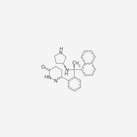 C[C@](N[C@H]1CCNC1)(c1ccccc1C1=NNC(=O)CC1)c1cccc2ccccc12